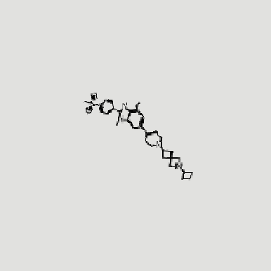 Cc1cc(C2CCN(C3CC4(C3)CN(C3CCC3)C4)CC2)cc2c1nc(-c1ccc(S(C)(=O)=O)cc1)n2C